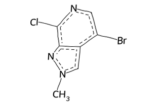 Cn1cc2c(Br)cnc(Cl)c2n1